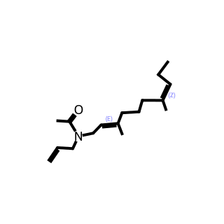 C=CCN(C/C=C(\C)CCC/C(C)=C\CC)C(C)=O